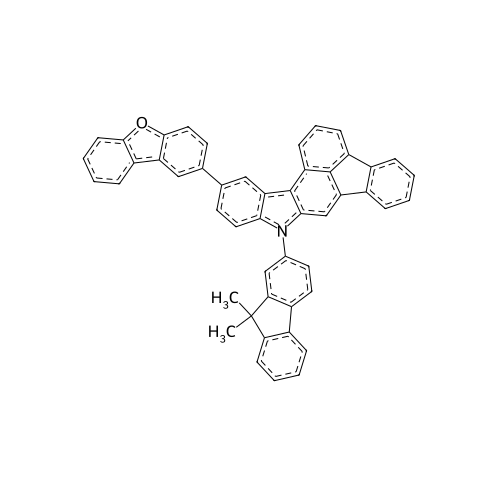 CC1(C)c2ccccc2-c2ccc(-n3c4ccc(-c5ccc6oc7ccccc7c6c5)cc4c4c5cccc6c5c(cc43)-c3ccccc3-6)cc21